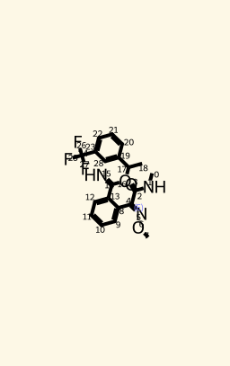 CNC(=O)/C(=N/OC)c1ccccc1C(=N)OC(C)c1cccc(C(F)(F)F)c1